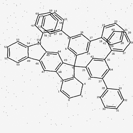 C1=CC2=C(CC1)C(c1cc(-c3ccccc3)cc(-c3ccccc3)c1)(c1cc(-c3ccccc3)cc(-c3ccccc3)c1)c1cc3c(cc12)c1ccccc1n3-c1ccccc1